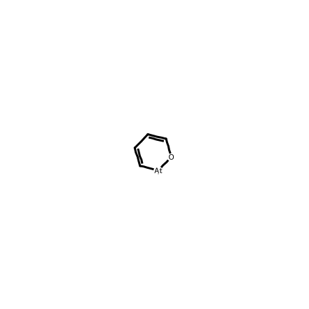 C1=CO[At]C=C1